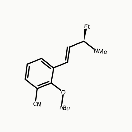 CCCCOc1c(C#N)cccc1/C=C/[C@@H](CC)NC